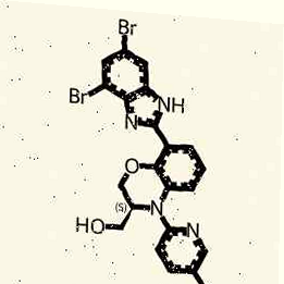 Cc1ccc(N2c3cccc(-c4nc5c(Br)cc(Br)cc5[nH]4)c3OC[C@@H]2CO)nc1